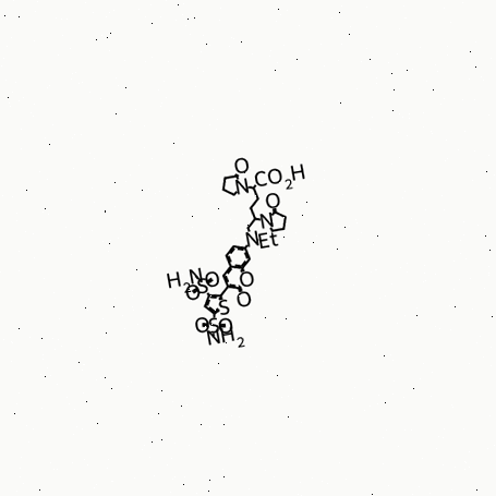 CCN(CC(CCC(C(=O)O)N1CCCC1=O)N1CCCC1=O)c1ccc2cc(-c3sc(S(N)(=O)=O)cc3S(N)(=O)=O)c(=O)oc2c1